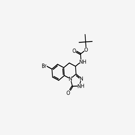 CC(C)(C)OC(=O)NC1Cc2cc(Br)ccc2-n2c1n[nH]c2=O